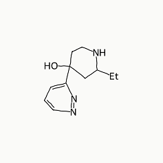 CCC1CC(O)(c2cccnn2)CCN1